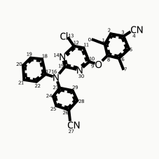 Cc1cc(C#N)cc(C)c1Oc1cc(Cl)nc(N(c2ccccc2)c2ccc(C#N)cc2)n1